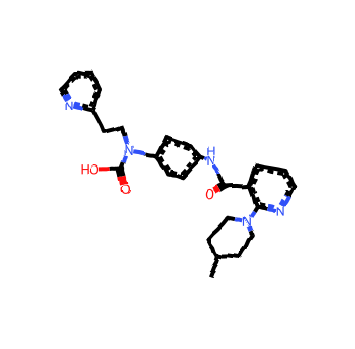 CC1CCN(c2ncccc2C(=O)Nc2ccc(N(CCc3ccccn3)C(=O)O)cc2)CC1